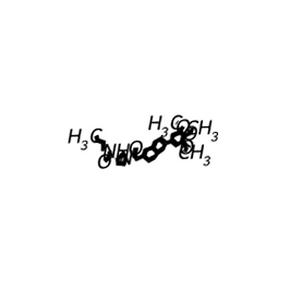 CCCCNC(=O)[C@H]1CCN(C(=O)Cc2ccc3cc(-c4cc(OC)c(OC)c(OC)c4)ccc3c2)C1